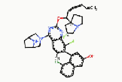 C=CC=C=CC(Oc1nc(N2CC3CCC(C2)N3)c2cc(C#N)c(-c3cc(O)cc4cccc(Cl)c34)c(F)c2n1)[C@@]12CCCN1C[C@H](F)C2